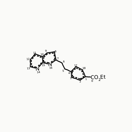 CCOC(=O)c1ccc(CCc2ccc3cccnc3n2)cc1